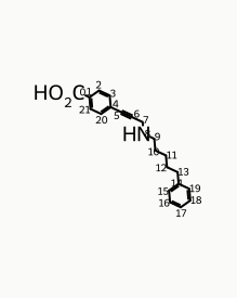 O=C(O)c1ccc(C#CCNCCCCCc2ccccc2)cc1